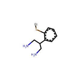 CCSc1ccccc1C(CN)CN